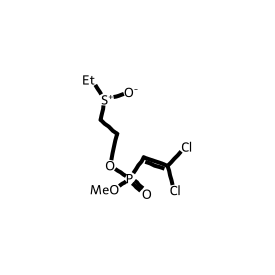 CC[S+]([O-])CCOP(=O)(C=C(Cl)Cl)OC